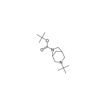 CC(C)(C)OC(=O)N1CC2CC1CN(C(C)(C)C)C2